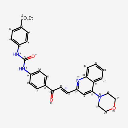 CCOC(=O)c1ccc(NC(=O)Nc2ccc(C(=O)/C=C/c3cc(N4CCOCC4)c4ccccc4n3)cc2)cc1